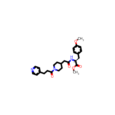 COC(=O)[C@H](Cc1ccc(OC)cc1)NC(=O)CC1CCN(C(=O)CCc2ccncc2)CC1